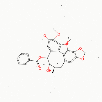 COc1cc2c(c(OC)c1OC)-c1c(cc3c(c1OC)OCO3)C[C@@H](C)[C@@](C)(O)C2OC(=O)c1ccccc1